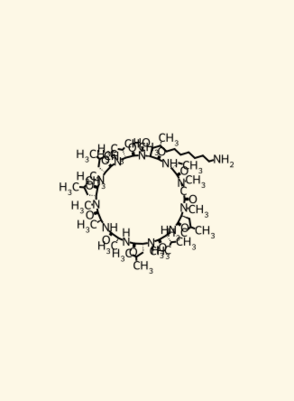 CC[C@H]1NC(=O)[C@H]([C@H](O)[C@H](C)CCCCCCCN)N(C)C(=O)[C@@H](C(C)C)N(C)C(=O)[C@@H](CC(C)C)N(C)C(=O)[C@@H](CC(C)C)N(C)C(=O)[C@H](C)NC(=O)[C@@H](C)NC(=O)[C@@H](CC(C)C)N(C)C(=O)[C@@H](C(C)C)NC(=O)[C@H](CC(C)C)N(C)C(=O)CN(C)C1=O